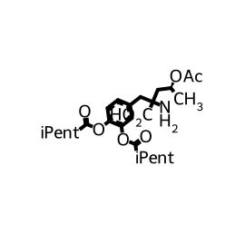 CCCC(C)C(=O)Oc1ccc(CC(N)(C[C@H](C)OC(C)=O)C(=O)O)cc1OC(=O)C(C)CCC